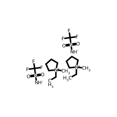 CC[N+]1(C)CCCC1.CC[N+]1(C)CCCC1.[NH-]S(=O)(=O)C(F)(F)F.[NH-]S(=O)(=O)C(F)(F)F